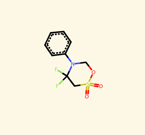 O=S1(=O)CC(F)(F)N(c2ccccc2)CO1